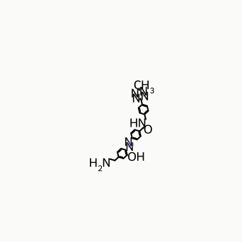 Cc1nnc(-c2ccc(CNC(=O)c3ccc(/N=N/c4ccc(CCN)cc4O)cc3)cc2)nn1